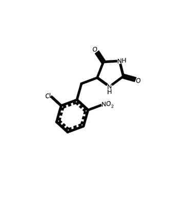 O=C1NC(=O)C(Cc2c(Cl)cccc2[N+](=O)[O-])N1